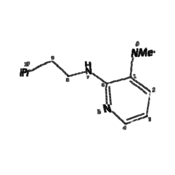 C[N]c1cccnc1NCCC(C)C